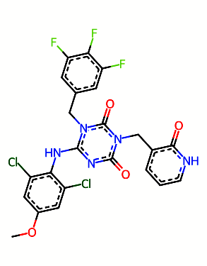 COc1cc(Cl)c(Nc2nc(=O)n(Cc3ccc[nH]c3=O)c(=O)n2Cc2cc(F)c(F)c(F)c2)c(Cl)c1